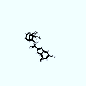 CC1(C)C(NC(=O)c2cc3cc(F)cc(Cl)c3s2)C2CCN1CC2